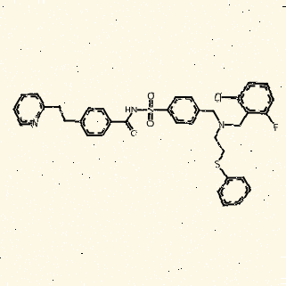 O=C(NS(=O)(=O)c1ccc(CN(CCSc2ccccc2)Cc2c(F)cccc2Cl)cc1)c1ccc(CCc2ccccn2)cc1